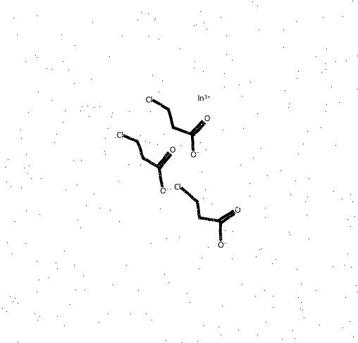 O=C([O-])CCCl.O=C([O-])CCCl.O=C([O-])CCCl.[In+3]